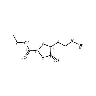 CCOC(=O)N1CC(=O)C(CCCBr)C1